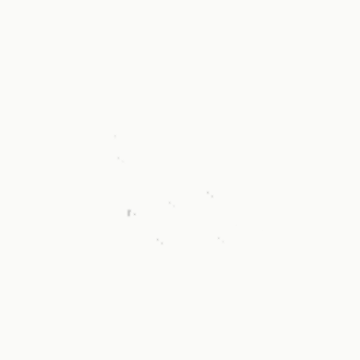 Cc1nc(NC2CN(C(=O)C3CCCO3)C2)nc2c1NC(=O)C(C(C)C)N2C